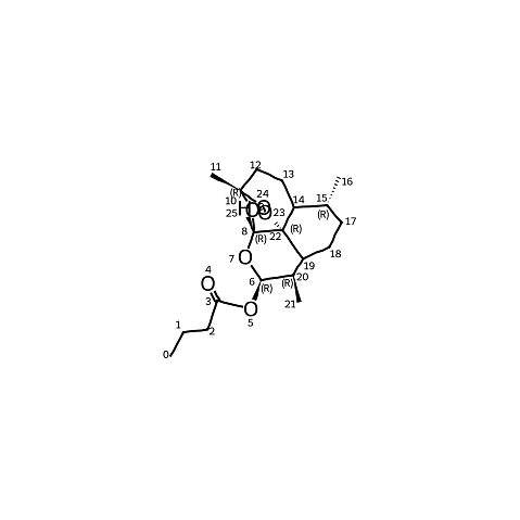 CCCC(=O)O[C@H]1O[C@@H]2O[C@@]3(C)CCC4[C@H](C)CCC([C@H]1C)[C@]42OO3